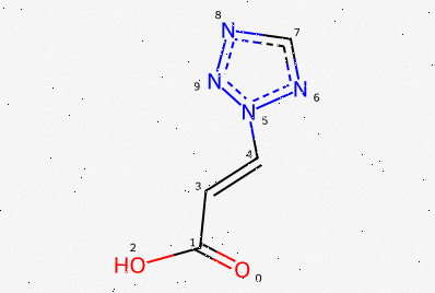 O=C(O)C=Cn1ncnn1